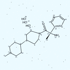 CN1CCC(C2CCN(C(=O)[C@@](C)(N)c3cccnc3)CC2)CC1.Cl.Cl.Cl